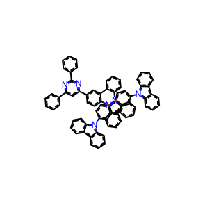 c1ccc(-c2cc(-c3ccc(-n4c5ccccc5c5cc(-n6c7ccccc7c7ccccc76)ccc54)c(-c4ccccc4-n4c5ccccc5c5cc(-n6c7ccccc7c7ccccc76)ccc54)c3)nc(-c3ccccc3)n2)cc1